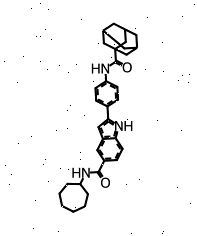 O=C(NC1CCCCCC1)c1ccc2[nH]c(-c3ccc(NC(=O)C45CC6CC(CC(C6)C4)C5)cc3)cc2c1